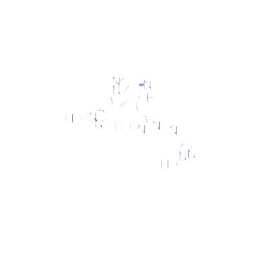 C=N/C(=C\C=C(/C)c1cc(-c2cnn(C)c2)cn2ncc(C#N)c12)N1CCN(Cc2cnn(C)c2)CC1